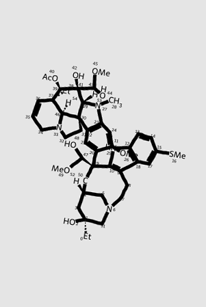 CC[C@]1(O)C[C@H]2CN(CCc3c([nH]c4ccc(SC)cc34)[C@](c3cc4c(cc3OC)N(C)[C@@H]3[C@]45CCN4CC=C[C@@](CC)([C@@H](OC(C)=O)[C@]3(O)C(O)OC)[C@H]45)(C(O)OC)C2)C1